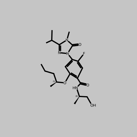 CCC[C@H](C)Oc1cc(-n2nc(C(C)C)n(C)c2=O)c(F)cc1C(=O)N[C@H](C)CO